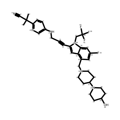 CC(C)(C#N)c1ccc(NCC#Cc2cc3c(CN4CCC(N5CCC(O)CC5)CC4)cc(F)cc3n2CC(F)(F)F)cn1